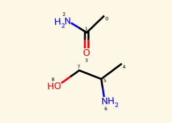 CC(N)=O.CC(N)CO